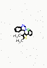 Cc1sc(-c2ccccc2)c(C2c3ccccc3N=CN2Cl)c1C